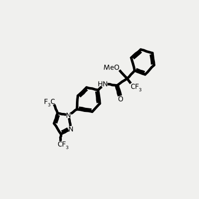 COC(C(=O)Nc1ccc(-n2nc(C(F)(F)F)cc2C(F)(F)F)cc1)(c1ccccc1)C(F)(F)F